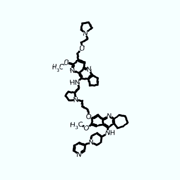 COc1cc2c(NC3CCN(c4cccnc4)CC3)c3c(nc2cc1OCCCN1CCCC1CNc1c2c(nc4cc(COCCN5CCCC5)c(OC)nc14)CCC2)CCCCC3